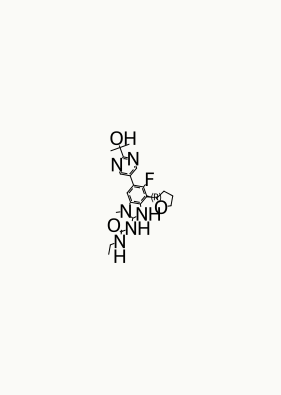 CCNC(=O)NC1Nc2c(cc(-c3cnc(C(C)(C)O)nc3)c(F)c2[C@H]2CCCO2)N1C